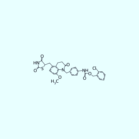 COc1ccc(CC2SC(=O)NC2=O)c2c1N(Cc1ccc(NC(=O)OCc3ccccc3Cl)cc1)C(=O)CC2